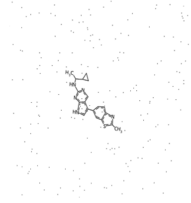 Cc1nc2ccc(-c3c[nH]c4nc(NC(C)C5CC5)ncc34)cc2s1